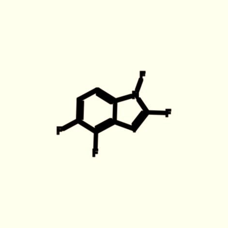 Fc1ccc2c([c]c(F)n2F)c1F